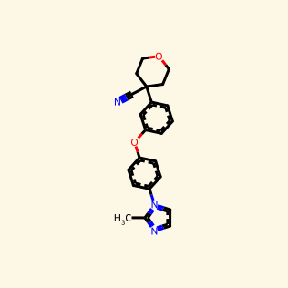 Cc1nccn1-c1ccc(Oc2cccc(C3(C#N)CCOCC3)c2)cc1